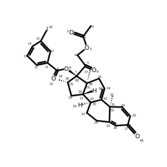 CC(=O)OCC(=O)[C@@]1(OC(=O)c2cccc(I)c2)[C@@H](C)C[C@H]2[C@@H]3CCC4=CC(=O)C=C[C@]4(C)C3=CC[C@@]21C